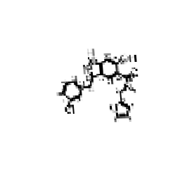 CN(Cc1ccco1)C(=O)c1cc2c(Cc3cccc(Cl)c3)n[nH]c2cc1O